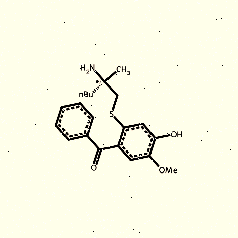 CCCC[C@@](C)(N)CSc1cc(O)c(OC)cc1C(=O)c1ccccc1